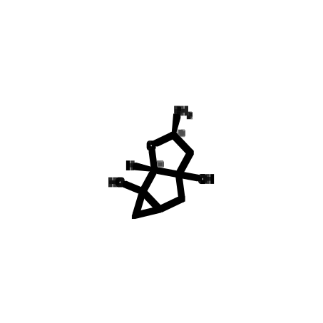 B[C@H]1CC2(O)CC3CC3(O)[C@@H]2O1